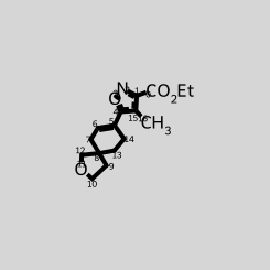 CCOC(=O)c1noc(C2=CCC3(CCOC3)CC2)c1C